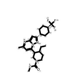 CCC1CCN(C(=O)OC)CC1c1cc(C)nc2cc([C@H]3CC[C@H](C(F)(F)F)CC3)nn12